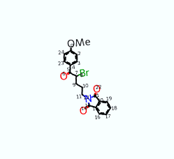 COc1ccc(C(=O)C(Br)CCCN2C(=O)c3ccccc3C2=O)cc1